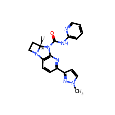 Cn1ccc(-c2ccc3c(n2)N(C(=O)Nc2ccccn2)[C@H]2CCN32)n1